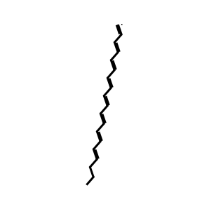 [CH]=CC=CC=CC=CC=CC=CC=CC=CCCC